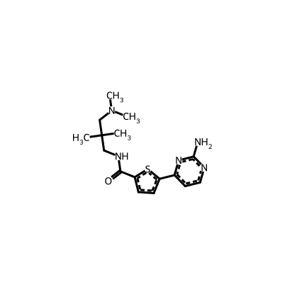 CN(C)CC(C)(C)CNC(=O)c1ccc(-c2ccnc(N)n2)s1